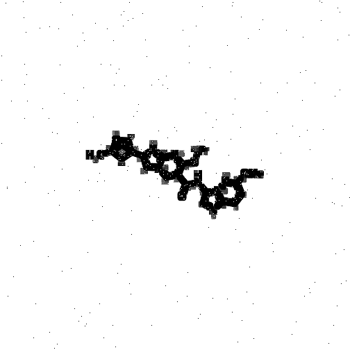 COc1ccc2ncc(NC(=O)c3cn4cc(C56COC(C)(C5)C6)nc4nc3OC(C)C)n2n1